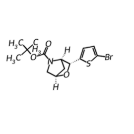 CC(C)(C)OC(=O)N1C[C@H]2C[C@@H]1[C@H](c1ccc(Br)s1)O2